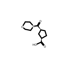 O=C(O)[C@@H]1CC[C@H](C(=O)N2CCOCC2)C1